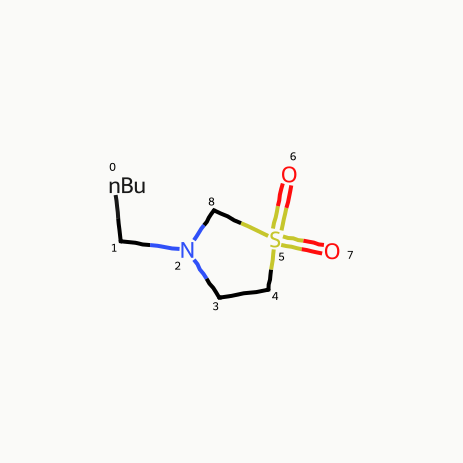 CCCCCN1CCS(=O)(=O)C1